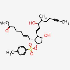 CC#CCCC(C)[C@H](O)C=C[C@@H]1[C@@H](CC=CCCCC(=O)OC)[C@H](OS(=O)(=O)c2ccc(C)cc2)C[C@H]1O